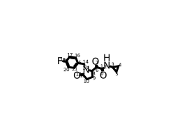 O=C(NC1CC1)C(=O)C1CCC(=O)N1Cc1ccc(F)cc1